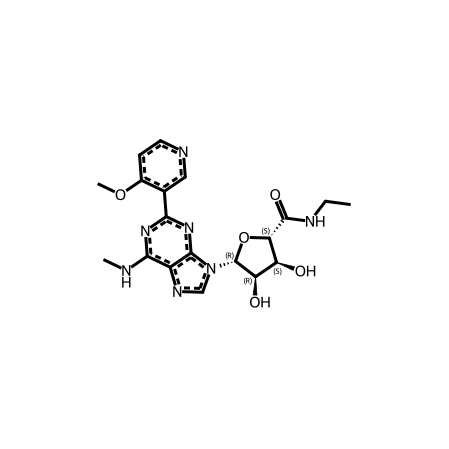 CCNC(=O)[C@H]1O[C@@H](n2cnc3c(NC)nc(-c4cnccc4OC)nc32)[C@H](O)[C@@H]1O